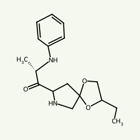 CCC1COC2(CNC(C(=O)[C@H](C)Nc3ccccc3)C2)O1